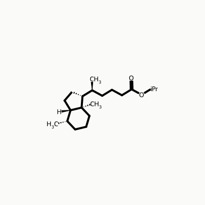 CC(C)OC(=O)CCC[C@H](C)[C@H]1CC[C@H]2[C@@H](C)CCC[C@]12C